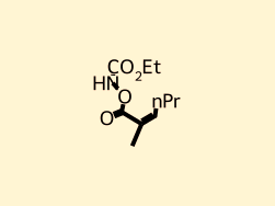 CCCC=C(C)C(=O)ONC(=O)OCC